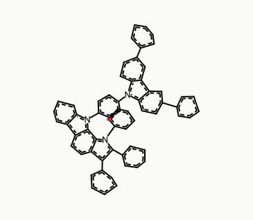 c1ccc(-c2ccc3c(c2)c2cc(-c4ccccc4)ccc2n3-c2ccc(-n3c4ccccc4c4ccc5c(-c6ccccc6)c(-c6ccccc6)n(-c6ccccc6)c5c43)cc2)cc1